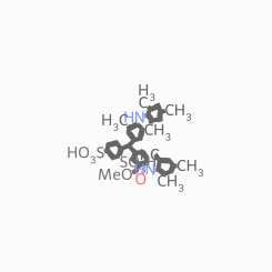 COC(=O)c1cc(C(c2ccc(Nc3c(C)cc(C)cc3C)c(C)c2)c2ccc(S(=O)(=O)O)cc2S(=O)(=O)O)ccc1Nc1c(C)cc(C)cc1C